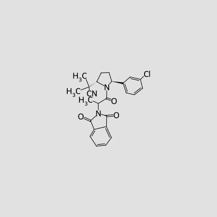 CC(C(=O)N1[C@H](C(C)(C)C#N)CC[C@H]1c1cccc(Cl)c1)N1C(=O)c2ccccc2C1=O